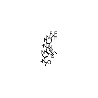 CCS(=O)(=O)c1cc(N(C)C(C)=O)cnc1-c1nc2cc(C(F)(F)F)nnc2n1C